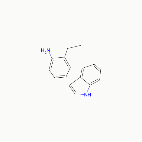 CCc1ccccc1N.c1ccc2[nH]ccc2c1